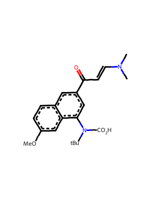 COc1ccc2cc(C(=O)C=CN(C)C)cc(N(C(=O)O)C(C)(C)C)c2c1